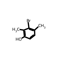 Cc1ccc(O)c(C)c1Br